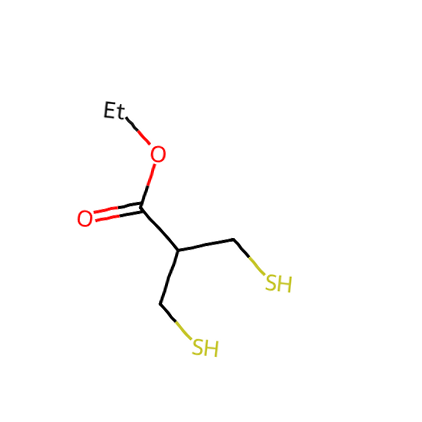 CCOC(=O)C(CS)CS